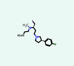 CNCCN(C)[C@@H](CI)CCN1CC[C@H](c2ccc(F)cc2)C1